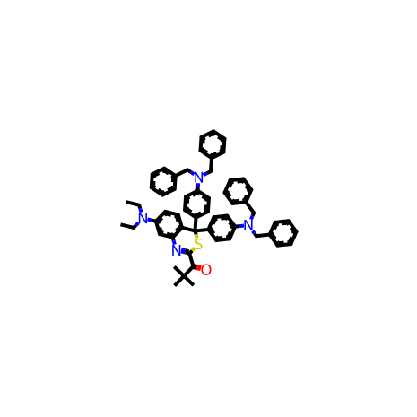 CCN(CC)c1ccc2c(c1)N=C(C(=O)C(C)(C)C)SC2(c1ccc(N(Cc2ccccc2)Cc2ccccc2)cc1)c1ccc(N(Cc2ccccc2)Cc2ccccc2)cc1